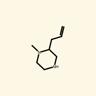 C=CCC1CNCCN1C